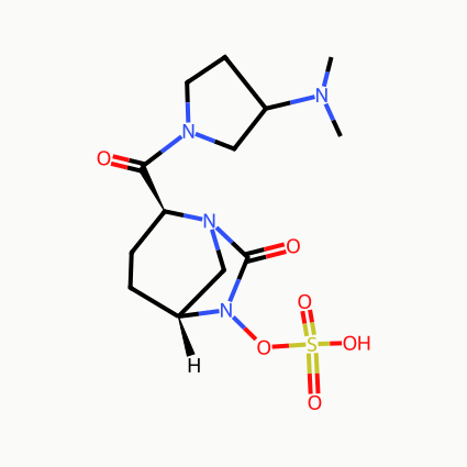 CN(C)C1CCN(C(=O)[C@@H]2CC[C@@H]3CN2C(=O)N3OS(=O)(=O)O)C1